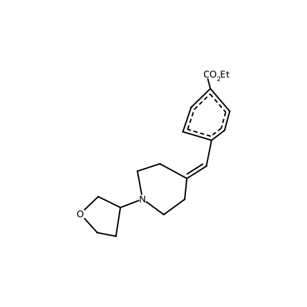 CCOC(=O)c1ccc(C=C2CCN(C3CCOC3)CC2)cc1